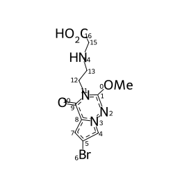 COc1nn2cc(Br)cc2c(=O)n1CCNCC(=O)O